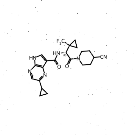 N#CC1CCN(C(=O)[C@H](NC(=O)c2c[nH]c3ncc(C4CC4)nc23)C2(C(F)(F)F)CC2)CC1